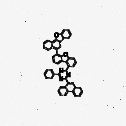 c1ccc(-c2nc(-c3cc4ccccc4c4ccccc34)nc(-c3cccc4oc5c(-c6cc7c8ccccc8oc7c7ccccc67)cccc5c34)n2)cc1